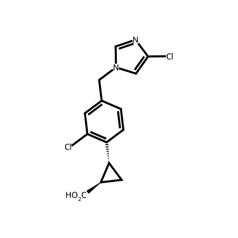 O=C(O)[C@@H]1C[C@H]1c1ccc(Cn2cnc(Cl)c2)cc1Cl